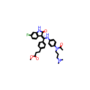 COC(=O)CCc1ccc(/C(Nc2ccc(N(CCCN(C)C)C(C)=O)cc2)=C2/C(=O)Nc3cc(F)ccc32)cc1